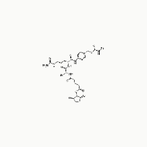 CCNC(=O)OCc1ccc(NC(=O)[C@H](CCCNC(N)=O)NC(=O)[C@@H](NC(=O)CCCC(=O)ON2C(=O)CCC2=O)C(C)C)cc1